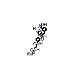 CC(C)(C)OC(=O)NCCC(=O)Nc1cccc(S(=O)(=O)NC(Cc2cccc(/C(N)=N\O)c2)c2nccs2)c1